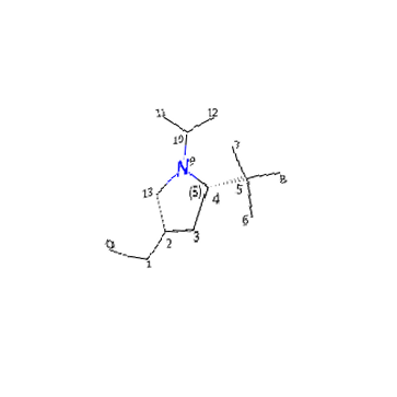 CCC1C[C@@H](C(C)(C)C)N(C(C)C)C1